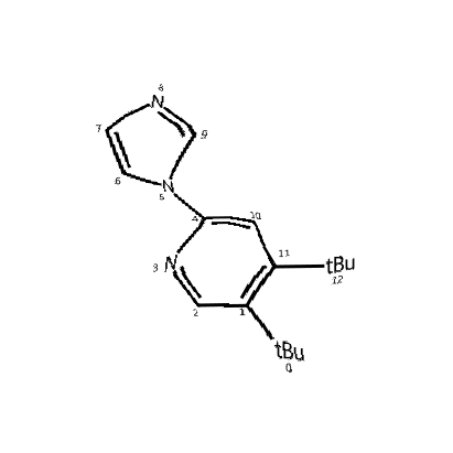 CC(C)(C)c1cnc(-n2ccnc2)cc1C(C)(C)C